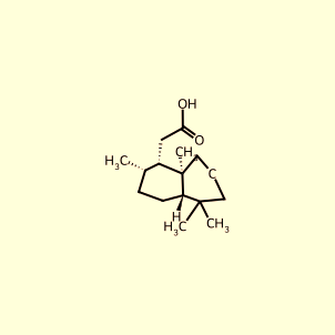 C[C@H]1CC[C@H]2C(C)(C)CCC[C@]2(C)[C@H]1CC(=O)O